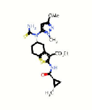 CCOC(=O)c1c(NC(=O)[C@H]2C[C@@H]2C)sc2c1C[C@@H](N(C(N)=S)c1cc(OC)nn1C)CC2